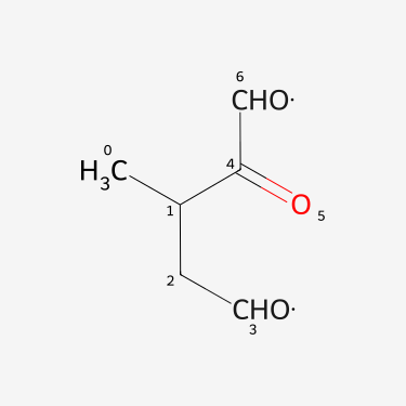 CC(C[C]=O)C(=O)[C]=O